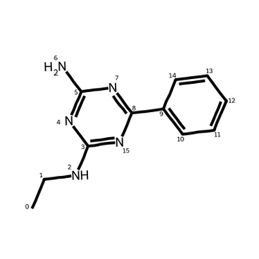 CCNc1nc(N)nc(-c2ccccc2)n1